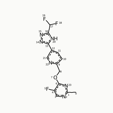 Cc1ncc(F)c(OCc2ccc(-c3nnc(C(F)F)[nH]3)cn2)n1